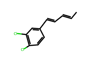 CC=CC=Cc1ccc(Cl)c(Cl)c1